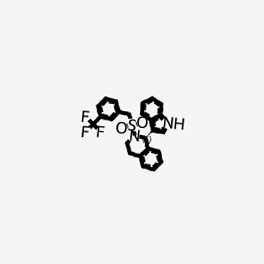 O=S(=O)(Cc1cccc(C(F)(F)F)c1)N1CCc2ccccc2[C@H]1c1c[nH]c2ccccc12